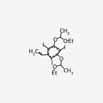 C=Cc1c(I)c(OC(C)OCC)c(I)c(OC(C)OCC)c1I